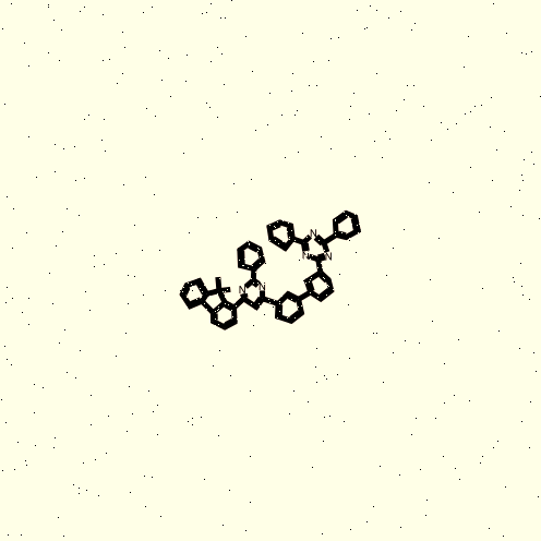 CC1(C)c2ccccc2-c2cccc(-c3cc(-c4cccc(-c5cccc(-c6nc(-c7ccccc7)nc(-c7ccccc7)n6)c5)c4)nc(-c4ccccc4)n3)c21